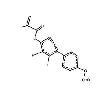 C=C(C)C(=O)Oc1ccc(-c2ccc(OC=O)cc2)c(F)c1F